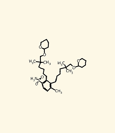 Cc1ccc(S(N)(=O)=O)c(CCCCC(C)(C)COC2CCCCO2)c1CCCCC(C)(C)COC1CCCCO1